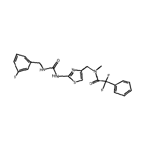 CN(Cc1csc(NC(=O)NCc2cccc(F)c2)n1)C(=O)C(F)(F)c1ccccc1